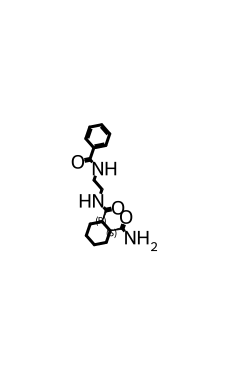 NC(=O)[C@H]1CCCC[C@H]1C(=O)NCCNC(=O)c1ccccc1